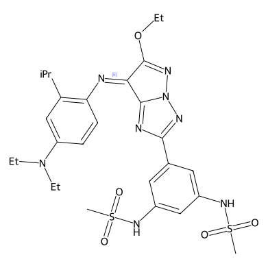 CCOC1=Nn2nc(-c3cc(NS(C)(=O)=O)cc(NS(C)(=O)=O)c3)nc2/C1=N\c1ccc(N(CC)CC)cc1C(C)C